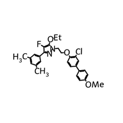 CCOc1c(F)c(-c2cc(C)cc(C)c2)nn1CCOc1ccc(-c2ccc(OC)cc2)cc1Cl